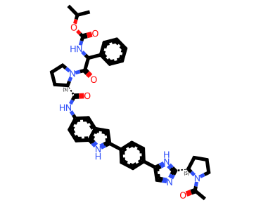 CC(=O)N1CCC[C@H]1c1ncc(-c2ccc(-c3cc4cc(NC(=O)[C@@H]5CCCN5C(=O)C(NC(=O)OC(C)C)c5ccccc5)ccc4[nH]3)cc2)[nH]1